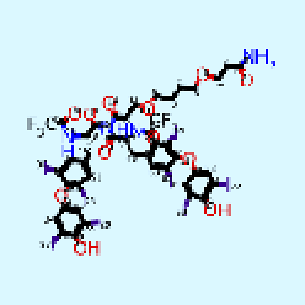 NC(=O)CCOCCCCOCCC(=O)N(C(=O)[C@H](Cc1cc(I)c(Oc2cc(I)c(O)c(I)c2)c(I)c1)NC(=O)C(F)(F)F)C(=O)[C@H](Cc1cc(I)c(Oc2cc(I)c(O)c(I)c2)c(I)c1)NC(=O)C(F)(F)F